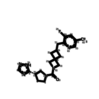 O=C(N1CC[C@H](c2ncn[nH]2)C1)N1CC2(CC(Cc3ncc(C(F)(F)F)cc3F)C2)C1